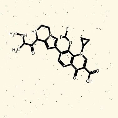 CNC(C)C(=O)C1NCCn2cc(-c3ccc4c(=O)c(C(=O)O)cn(C5CC5)c4c3OC(F)F)cc21